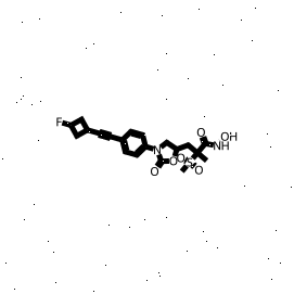 CC(CC1CN(c2ccc(C#CC3CC(F)C3)cc2)C(=O)O1)(C(=O)NO)S(C)(=O)=O